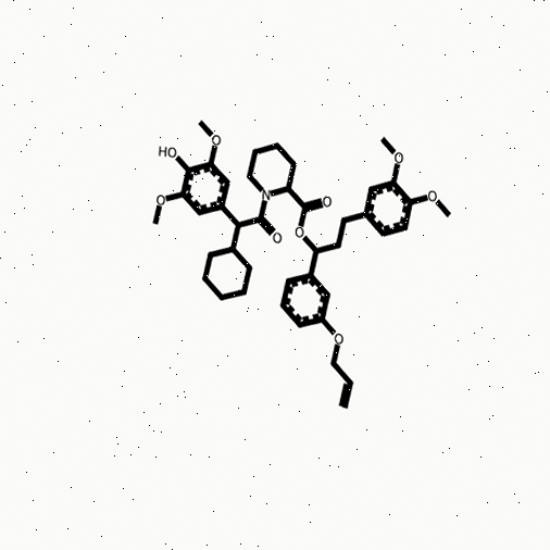 C=CCOc1cccc(C(CCc2ccc(OC)c(OC)c2)OC(=O)C2CCCCN2C(=O)C(c2cc(OC)c(O)c(OC)c2)C2CCCCC2)c1